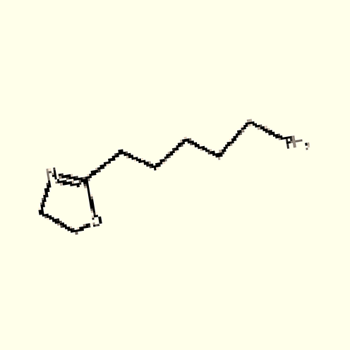 PCCCCCC1=NCCO1